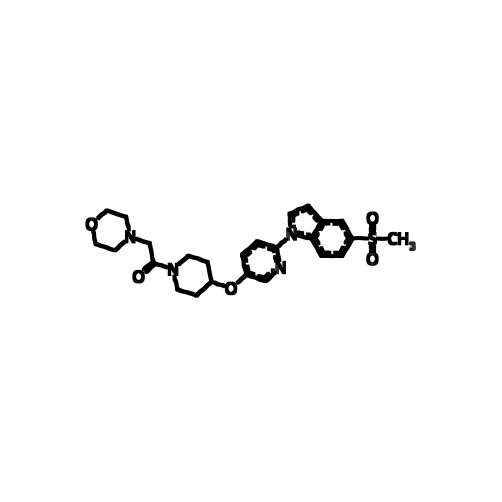 CS(=O)(=O)c1ccc2c(ccn2-c2ccc(OC3CCN(C(=O)CN4CCOCC4)CC3)cn2)c1